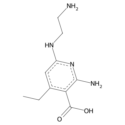 CCc1cc(NCCN)nc(N)c1C(=O)O